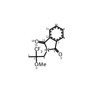 COC(C)(CN1C(=O)c2ccccc2C1=O)C(F)(F)F